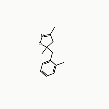 CC1=NOC(C)(Cc2ccccc2C)C1